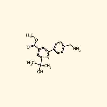 COC(=O)c1cc(-c2ccc(CN)cc2)nc(C(C)(C)O)c1